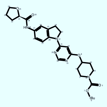 CC(C)(C)OC(=O)N1CCC(Oc2cc(N3CCc4cc(NC(=O)[C@H]5CCCO5)ccc43)ncn2)CC1